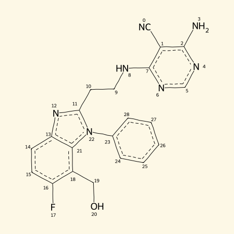 N#Cc1c(N)ncnc1NCCc1nc2ccc(F)c(CO)c2n1-c1ccccc1